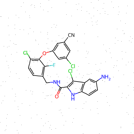 N#Cc1cc(Cl)cc(Oc2c(Cl)ccc(CNC(=O)c3[nH]c4ccc(N)cc4c3Cl)c2F)c1